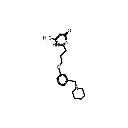 Cc1cc(=O)nc(CCCOc2cccc(CN3CCCCC3)c2)[nH]1